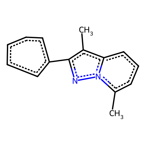 Cc1c(-c2ccccc2)nn2c(C)cccc12